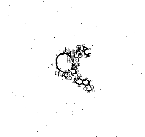 CC[C@@H]1C[C@H](C)CC/C=C\[C@@H]2C[C@@]2(C(=O)NS(=O)(=O)C2(CF)CC2)NC(=O)[C@@H]2C[C@@H](Oc3nccc4c5c(ccc34)OCCO5)CN2C(=O)[C@H]1NC(=O)O